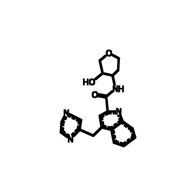 O=C(NC1CCOCC1O)c1cc(Cc2cnccn2)c2ccccc2n1